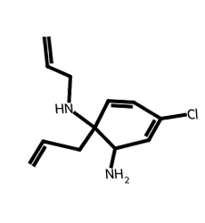 C=CCNC1(CC=C)C=CC(Cl)=CC1N